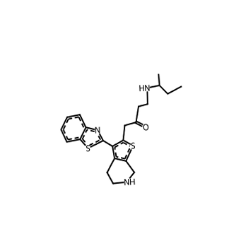 CCC(C)NCCC(=O)Cc1sc2c(c1-c1nc3ccccc3s1)CCNC2